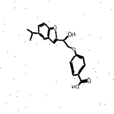 CC(C)c1ccc2oc(C(O)COc3ccc(C(=O)O)cc3)cc2c1